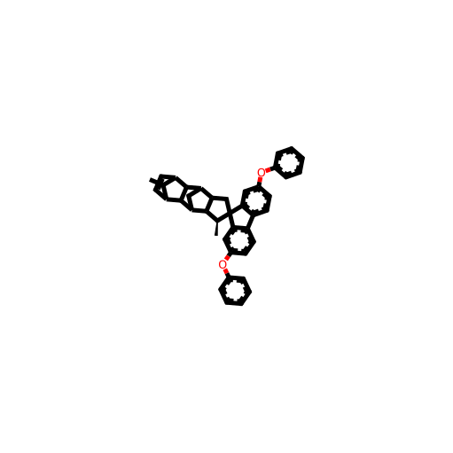 CC1C2C=CC1C1C3CC(C4CC5(c6cc(Oc7ccccc7)ccc6-c6ccc(Oc7ccccc7)cc65)[C@@H](C)C43)C21